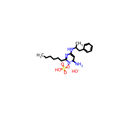 CCCCCCc1nc(NC(C)Cc2ccccc2)cc(N)[n+]1OS(=O)(=O)O.[OH-]